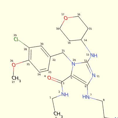 CCNC(=O)c1c(NCCN)nc(NC2CCOCC2)n1Cc1ccc(OC)c(Cl)c1